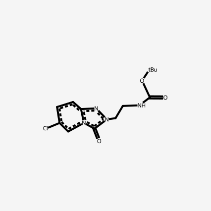 CC(C)(C)OC(=O)NCCn1nc2ccc(Cl)cn2c1=O